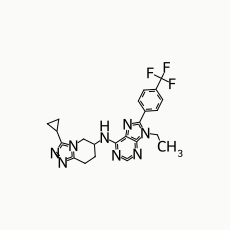 CCn1c(-c2ccc(C(F)(F)F)cc2)nc2c(NC3CCc4nnc(C5CC5)n4C3)ncnc21